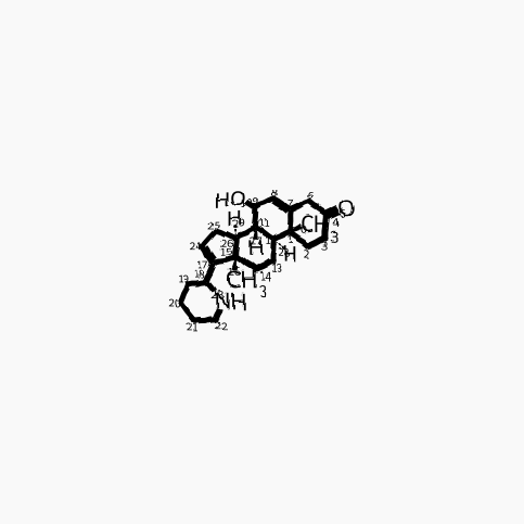 C[C@]12CCC(=O)CC1=CC(O)[C@@H]1[C@@H]2CC[C@]2(C)C(C3CCCCN3)=CC[C@@H]12